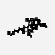 CCCC[S+]([O-])CCCn1c(CC)nc2c(N)ncc(C)c21